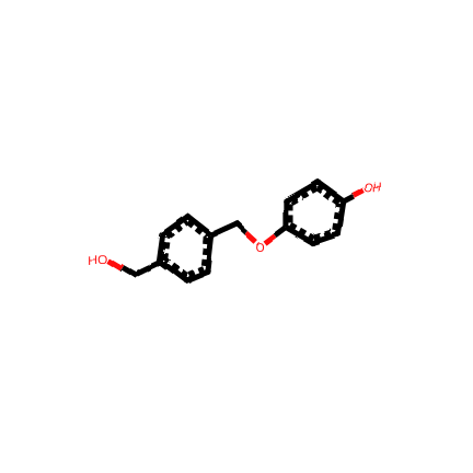 OCc1ccc(COc2ccc(O)cc2)cc1